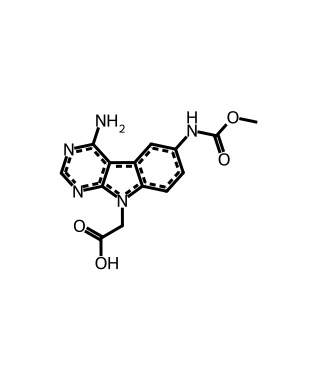 COC(=O)Nc1ccc2c(c1)c1c(N)ncnc1n2CC(=O)O